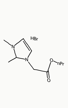 Br.CCCOC(=O)CN1C=CN(C)C1C